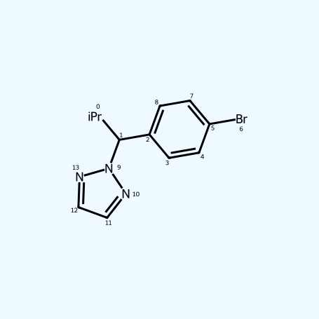 CC(C)C(c1ccc(Br)cc1)n1nccn1